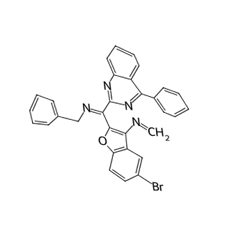 C=Nc1c(/C(=N\Cc2ccccc2)c2nc(-c3ccccc3)c3ccccc3n2)oc2ccc(Br)cc12